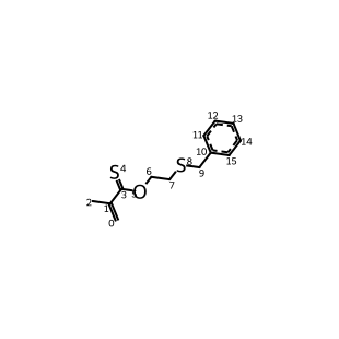 C=C(C)C(=S)OCCSCc1ccccc1